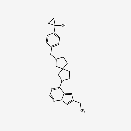 N#CC1(c2ccc(CN3CCC4(CCN(c5ncnn6cc(CC(F)(F)F)cc56)C4)C3)cc2)CC1